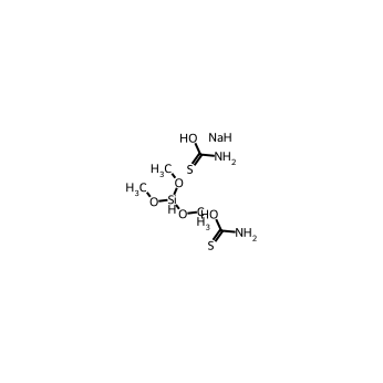 CO[SiH](OC)OC.NC(O)=S.NC(O)=S.[NaH]